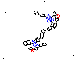 c1ccc(-c2ccc3oc4cccc(-c5nc(-c6ccc(-c7ccc8ccccc8c7)cc6)nc(-c6ccc7ccc(-c8ccc9cc(-c%10ccc(-c%11nc(-c%12ccc%13ccccc%13c%12)nc(-c%12c(-c%13ccc%14ccccc%14c%13)ccc%13oc%14ccccc%14c%12%13)n%11)cc%10)ccc9c8)cc7c6)n5)c4c3c2)cc1